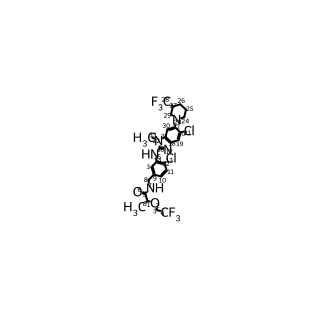 CC(OCC(F)(F)F)C(=O)NCc1ccc(Cl)c(Nc2nc3cc(Cl)c(N4CCCC(C(F)(F)F)C4)cc3n2C)c1